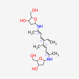 C=CC(=C\C=C(/C)NC1CC(O)C(CO)O1)/C(C)=C/C=C(\C)NC1CC(O)C(CO)O1